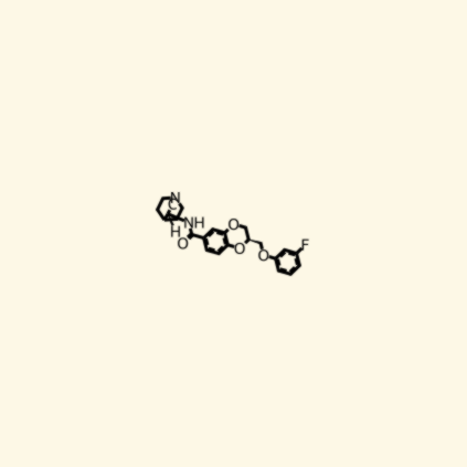 O=C(N[C@H]1CN2CCC1CC2)c1ccc2c(c1)OC[C@@H](COc1cccc(F)c1)O2